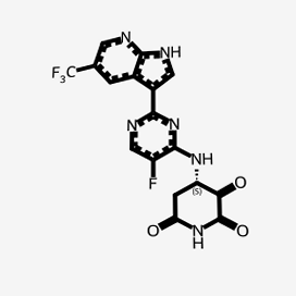 O=C1C[C@H](Nc2nc(-c3c[nH]c4ncc(C(F)(F)F)cc34)ncc2F)C(=O)C(=O)N1